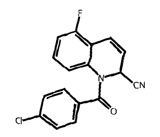 N#CC1C=Cc2c(F)cccc2N1C(=O)c1ccc(Cl)cc1